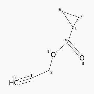 C#CCOC(=O)C1CC1